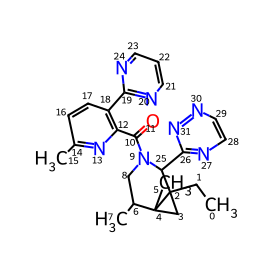 CCC12CC1(C)C(C)CN(C(=O)c1nc(C)ccc1-c1ncccn1)C2c1nccnn1